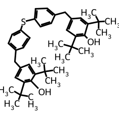 CC(C)(C)c1cc(Cc2ccc(Sc3ccc(Cc4cc(C(C)(C)C)c(O)c(C(C)(C)C)c4)cc3)cc2)cc(C(C)(C)C)c1O